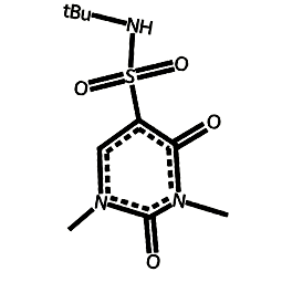 Cn1cc(S(=O)(=O)NC(C)(C)C)c(=O)n(C)c1=O